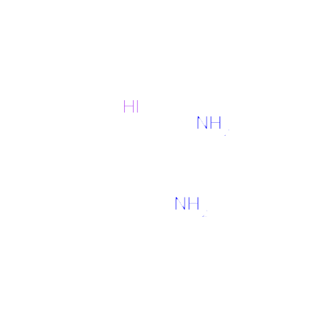 CC=C(N)N.I